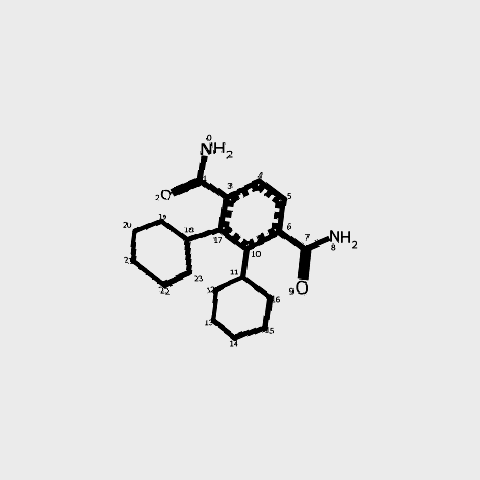 NC(=O)c1ccc(C(N)=O)c(C2CCCCC2)c1C1CCCCC1